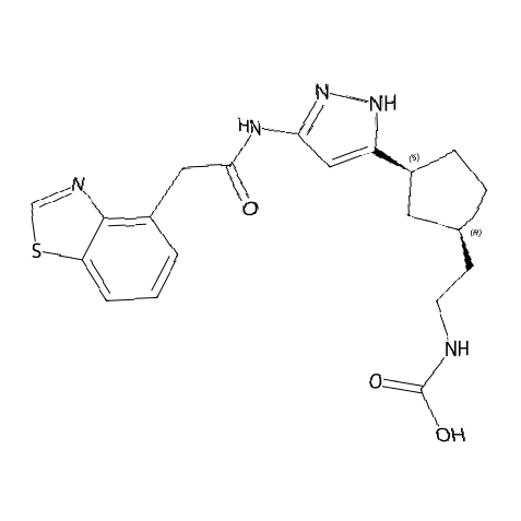 O=C(O)NCC[C@@H]1CC[C@H](c2cc(NC(=O)Cc3cccc4scnc34)n[nH]2)C1